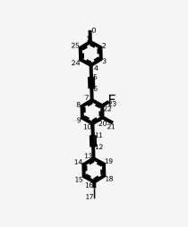 Cc1ccc(C#Cc2ccc(C#Cc3ccc(I)cc3)c(C)c2F)cc1